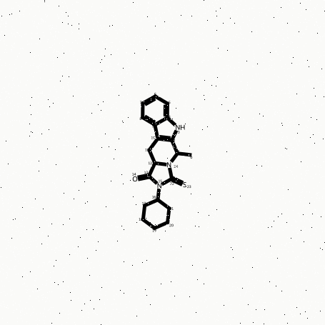 CC1c2[nH]c3ccccc3c2CC2C(=O)N(C3CCCCC3)C(=S)N21